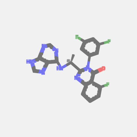 C[C@@H](Nc1ncnc2[nH]cnc12)c1nc2cccc(F)c2c(=O)n1-c1cc(F)cc(F)c1